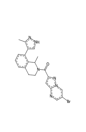 Cc1n[nH]cc1-c1cccc2c1C(C)N(C(=O)c1cc3ncc(Br)cn3n1)CC2